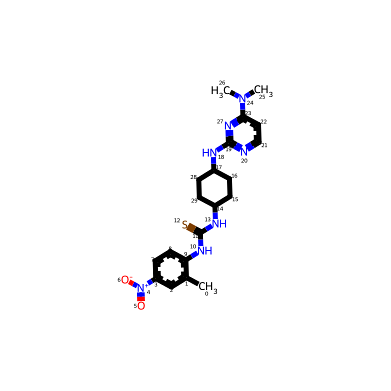 Cc1cc([N+](=O)[O-])ccc1NC(=S)NC1CCC(Nc2nccc(N(C)C)n2)CC1